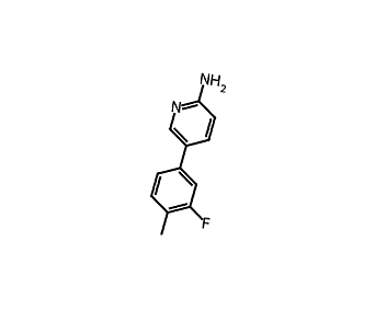 Cc1ccc(-c2ccc(N)nc2)cc1F